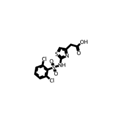 O=C(O)Cc1csc(NS(=O)(=O)c2c(Cl)cccc2Cl)n1